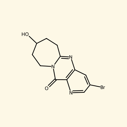 O=c1c2ncc(Br)cc2nc2n1CCC(O)CC2